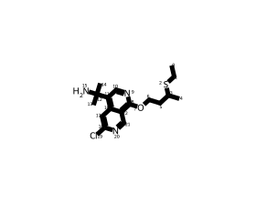 CCSC(C)CCOc1ncc(C(C)(C)N)c2cc(Cl)ncc12